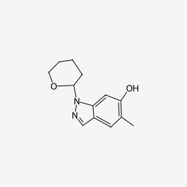 Cc1cc2cnn(C3CCCCO3)c2cc1O